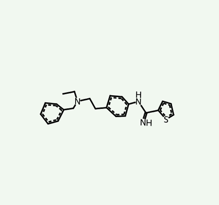 CCN(CCc1ccc(NC(=N)c2cccs2)cc1)Cc1ccccc1